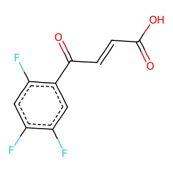 O=C(O)C=CC(=O)c1cc(F)c(F)cc1F